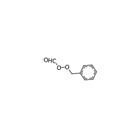 O=[C]OOCc1ccccc1